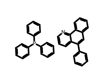 c1ccc(-c2cc3ccccc3c3ncccc23)cc1.c1ccc(P(c2ccccc2)c2ccccc2)cc1